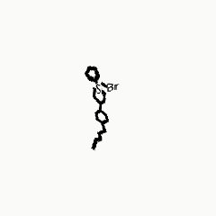 C=CCCCC1CCC(C2CC[Si](CBr)(c3ccccc3)CC2)CC1